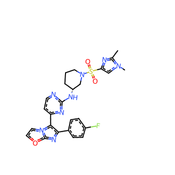 Cc1nc(S(=O)(=O)N2CCC[C@@H](Nc3nccc(-c4c(-c5ccc(F)cc5)nc5occn45)n3)C2)cn1C